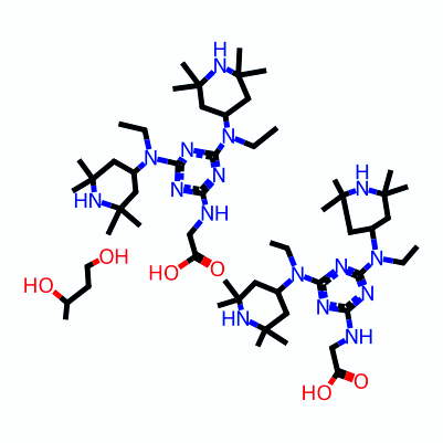 CC(O)CCO.CCN(c1nc(NCC(=O)O)nc(N(CC)C2CC(C)(C)NC(C)(C)C2)n1)C1CC(C)(C)NC(C)(C)C1.CCN(c1nc(NCC(=O)O)nc(N(CC)C2CC(C)(C)NC(C)(C)C2)n1)C1CC(C)(C)NC(C)(C)C1